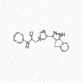 O=C(Cn1cnc(-c2n[nH]c3c2Cc2ccccc2-3)c1)Nc1ccccc1